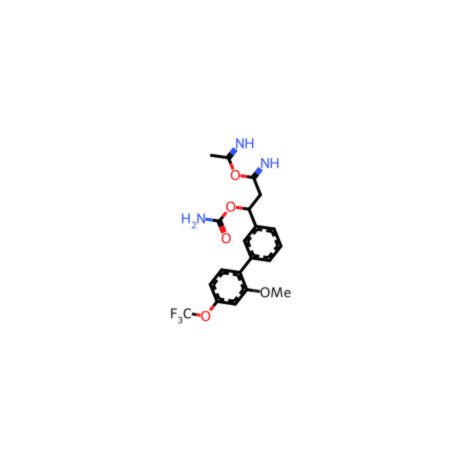 COc1cc(OC(F)(F)F)ccc1-c1cccc(C(CC(=N)OC(C)=N)OC(N)=O)c1